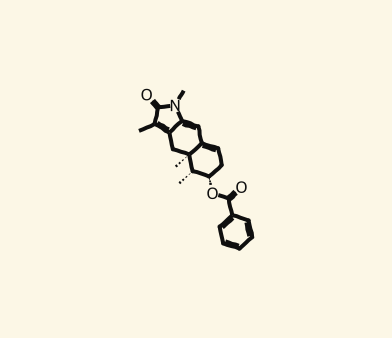 CC1=C2C[C@@]3(C)C(=CC[C@H](OC(=O)c4ccccc4)[C@@H]3C)C=C2N(C)C1=O